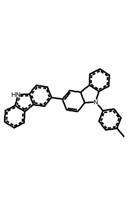 Cc1ccc(N2c3ccccc3C3C=C(c4ccc5[nH]c6ccccc6c5c4)C=CC32)cc1